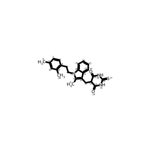 Cc1ccc(CCn2c(C)c(CC3C(=O)NC(=S)NC3=O)c3ccccc32)c(C)c1